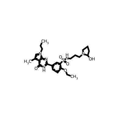 CCCn1cc(C)c2c(=O)[nH]c(-c3ccc(OCC)c(S(=O)(=O)NCCCN4CCCC4O)c3)nc21